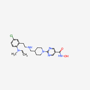 C=CN(C)c1ccc(Cl)cc1CCNCC1CCN(c2ncc(C(=O)NO)cn2)CC1